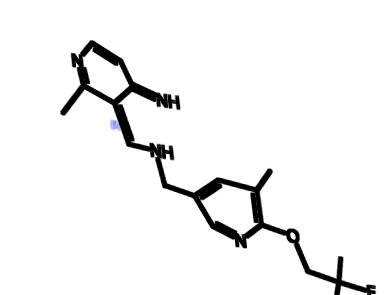 CC1=NC=CC(=N)/C1=C\NCc1cnc(OCC(C)(C)F)c(C)c1